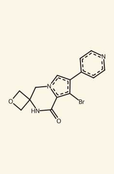 O=C1NC2(COC2)Cn2cc(-c3ccncc3)c(Br)c21